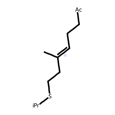 CC(=O)CC/C=C(\C)CCSC(C)C